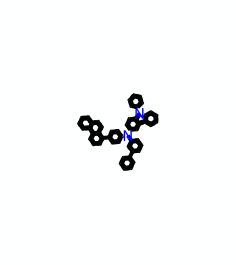 c1ccc(-c2cccc(N(c3ccc(-c4cccc5c4ccc4ccccc45)cc3)c3ccc4c(c3)c3ccccc3n4-c3ccccc3)c2)cc1